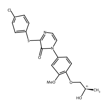 COc1cc(-n2ccnc(Sc3ccc(Cl)cc3)c2=O)ccc1OC[C@@H](C)O